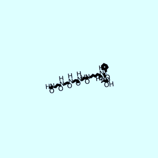 CC(=O)NCCC(=O)NCCC(=O)NCCC(=O)NCCC(=O)NCCCCC(=O)N[C@H](Cc1ccccc1)C(=O)N[C@H](C)C(=O)O